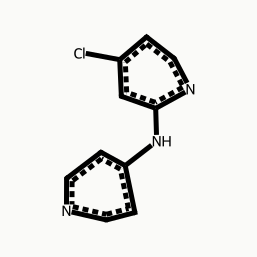 Clc1ccnc(Nc2ccncc2)c1